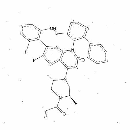 C=CC(=O)N1C[C@H](C)N(c2nc(=O)n(-c3c(SC)ccnc3-c3ccccc3)c3nc(-c4c(O)cccc4F)c(F)cc23)C[C@H]1C